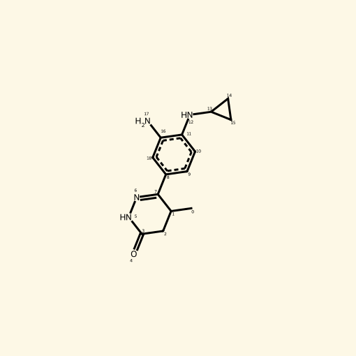 CC1CC(=O)NN=C1c1ccc(NC2CC2)c(N)c1